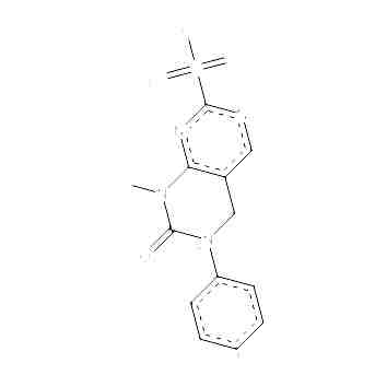 CN1C(=O)N(c2ccccc2)Cc2cnc(S(C)(=O)=O)nc21